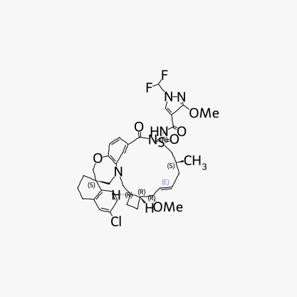 COc1nn(C(F)F)cc1C(=O)N[S@@]1(=O)=NC(=O)c2ccc3c(c2)N(C[C@@H]2CC[C@H]2[C@@H](OC)/C=C/C[C@H](C)C1)C[C@@]1(CCCc2cc(Cl)ccc21)CO3